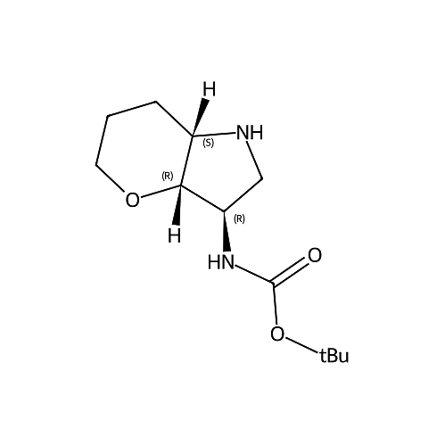 CC(C)(C)OC(=O)N[C@@H]1CN[C@H]2CCCO[C@H]21